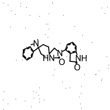 CN(C)[C@]1(c2ccccc2)CC[C@]2(CC1)CN(c1cccc3c1CC(=O)N3)C(=O)N2